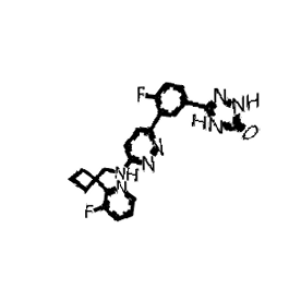 O=c1[nH]nc(-c2ccc(F)c(-c3ccc(NCC4(c5ncccc5F)CCC4)nn3)c2)[nH]1